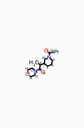 CC(C)C(=O)N1CCCC(C(C)C(=O)N2CCOCC2)C1